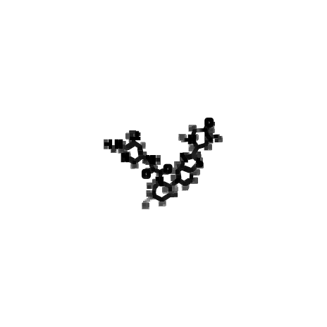 CCc1cc(NC(=O)C(=O)N2C[C@@H](C)CC[C@@H]2c2ccc3sc(C4CN(C)C(=O)CN4C)nc3c2)cnc1N